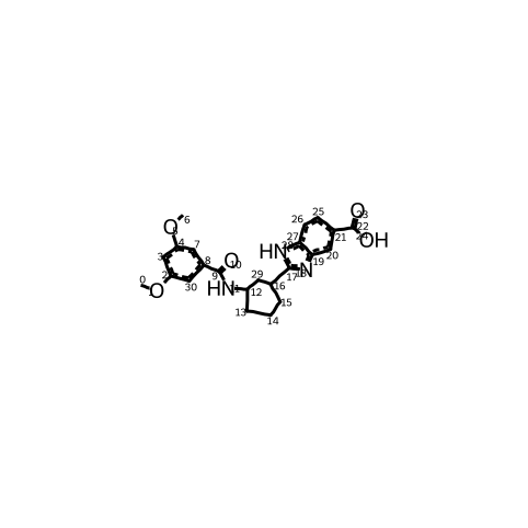 COc1cc(OC)cc(C(=O)NC2CCCC(c3nc4cc(C(=O)O)ccc4[nH]3)C2)c1